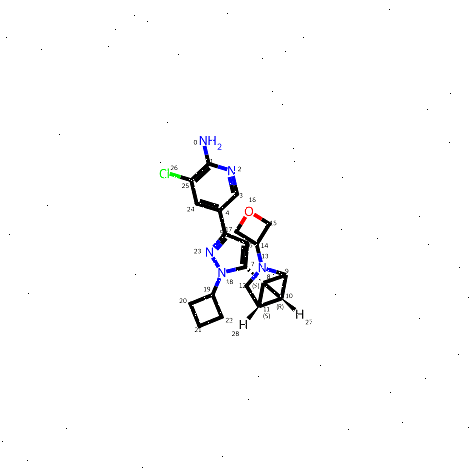 Nc1ncc(-c2cc([C@]34C5[C@@H]3[C@@H]4CN5C3COC3)n(C3CCC3)n2)cc1Cl